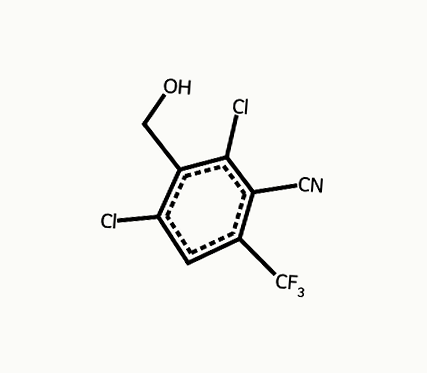 N#Cc1c(C(F)(F)F)cc(Cl)c(CO)c1Cl